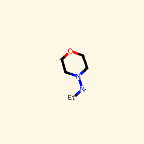 CC[N]N1C[CH]OCC1